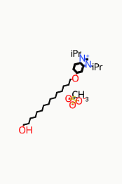 CC(C)n1c[n+](C(C)C)c2ccc(OCCCCCCCCCCCCCCCO)cc21.CS(=O)(=O)[O-]